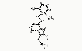 C#CCc1c(C)nc2c(OCc3c(C)cccc3N)cccn12